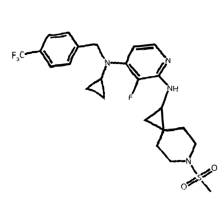 CS(=O)(=O)N1CCC2(CC1)CC2Nc1nccc(N(Cc2ccc(C(F)(F)F)cc2)C2CC2)c1F